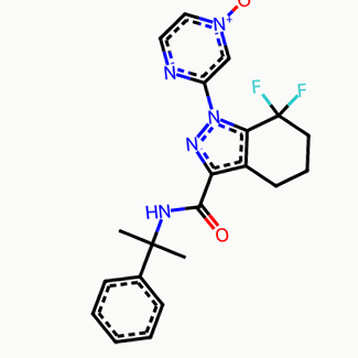 CC(C)(NC(=O)c1nn(-c2c[n+]([O-])ccn2)c2c1CCCC2(F)F)c1ccccc1